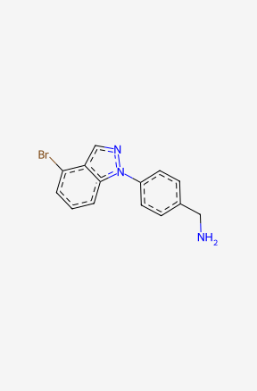 NCc1ccc(-n2ncc3c(Br)cccc32)cc1